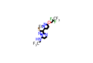 CCSc1nn2c(NCC(F)(F)F)ccnc2c1-c1ccc(OCC(F)(F)C(F)(F)F)nn1